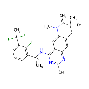 C=C1N(C)c2cc3c(N[C@H](C)c4cccc(C(C)(F)F)c4F)nc(C)nc3cc2CC1(C)CC